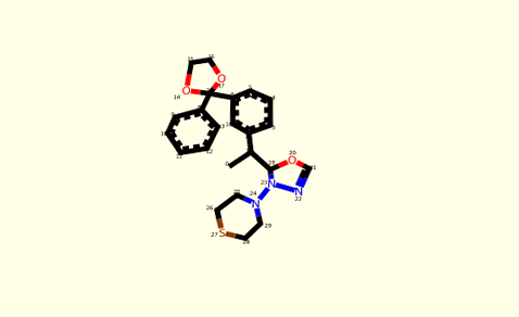 CC(c1cccc(C2(c3ccccc3)OCCO2)c1)C1OC=NN1N1CCSCC1